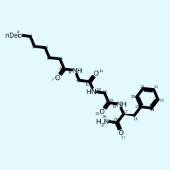 CCCCCCCCCCCCCCCC(=O)NCC(=O)NCC(=O)N[C@@H](Cc1ccccc1)C(N)=O